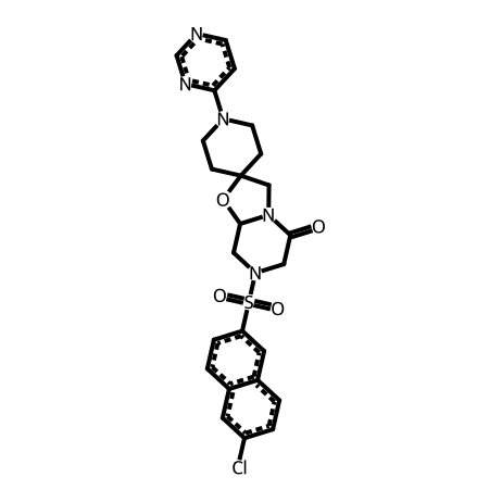 O=C1CN(S(=O)(=O)c2ccc3cc(Cl)ccc3c2)CC2OC3(CCN(c4ccncn4)CC3)CN12